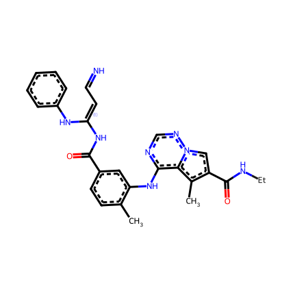 CCNC(=O)c1cn2ncnc(Nc3cc(C(=O)N/C(=C/C=N)Nc4ccccc4)ccc3C)c2c1C